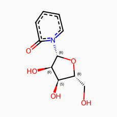 O=c1ccccn1[C@@H]1O[C@H](CO)[C@@H](O)[C@H]1O